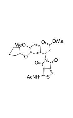 COC(=O)CC(c1ccc(OC)c(OC2CCCC2)c1)N1C(=O)c2csc(NC(C)=O)c2C1=O